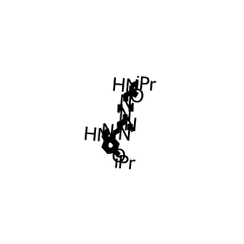 CC(C)NC(=O)CN1CCN(c2cc(-c3n[nH]c4ccc(OC(C)C)cc34)ncn2)CC1